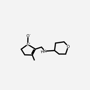 CC1=C(CNC2CCOCC2)[S+]([O-])CC1